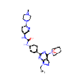 CN1CCN(c2ccc(NC(=O)Nc3ccc(-c4nc(N5CC6CCC(C5)O6)c5cnn(CC(F)(F)F)c5n4)cc3)cn2)CC1